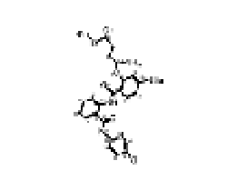 CC(C)(C)OC(=O)CCC(N)Oc1cc(C(C)(C)C)ccc1C(=O)Nc1ccccc1C(=O)Nc1ccc(Cl)cn1